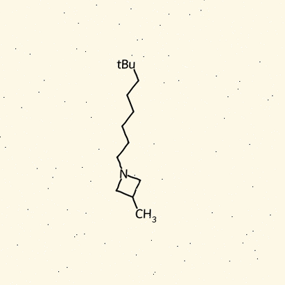 CC1CN(CCCCCCC(C)(C)C)C1